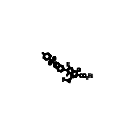 CCOC(=O)c1cn(C2CC2F)c2c(C)c(-c3ccc4c(c3)CN(S(=O)(=O)c3ccc(C)cc3)C4)c(F)cc2c1=O